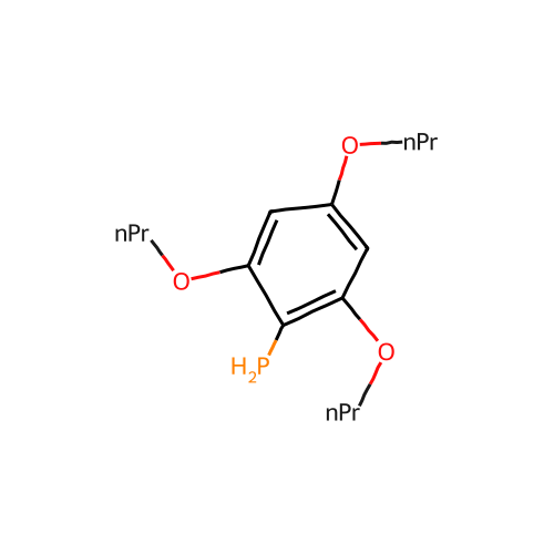 CCCOc1cc(OCCC)c(P)c(OCCC)c1